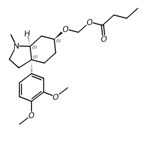 CCCC(=O)OCO[C@H]1CC[C@@]2(c3ccc(OC)c(OC)c3)CCN(C)[C@H]2C1